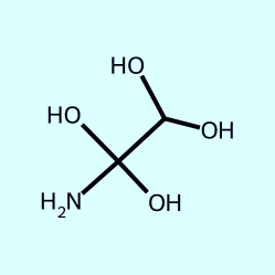 NC(O)(O)C(O)O